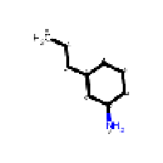 CCCC1CCCC(N)C1